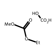 CCOC(=O)OC.O=C(O)O